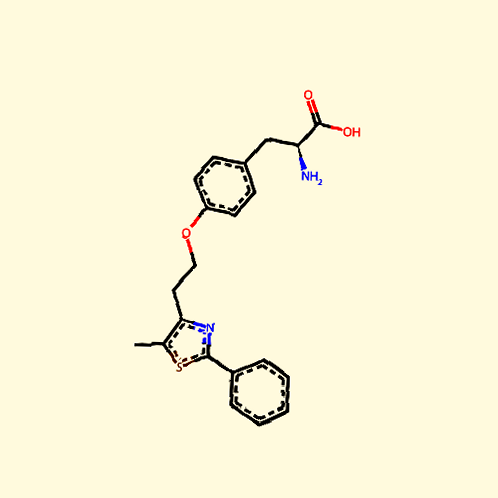 Cc1sc(-c2ccccc2)nc1CCOc1ccc(C[C@H](N)C(=O)O)cc1